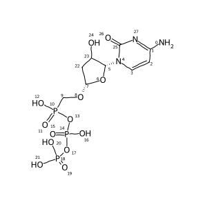 Nc1ccn([C@@H]2O[C@H](OCP(=O)(O)OP(=O)(O)OP(=O)(O)O)CC2O)c(=O)n1